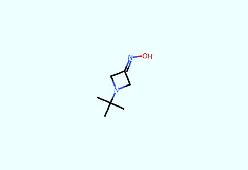 CC(C)(C)N1CC(=NO)C1